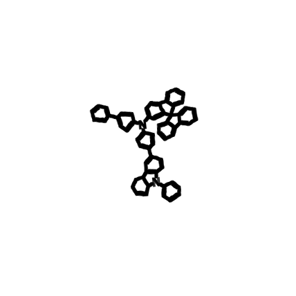 C1=CC2C(CC1)c1cc(-c3ccc(N(c4ccc(-c5ccccc5)cc4)c4ccc5c(c4)C4(c6ccccc6-c6ccccc64)c4ccccc4-5)cc3)ccc1N2c1ccccc1